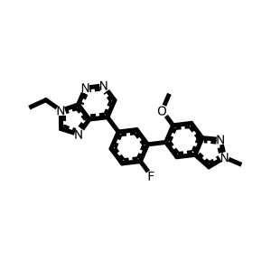 CCn1cnc2c(-c3ccc(F)c(-c4cc5cn(C)nc5cc4OC)c3)cnnc21